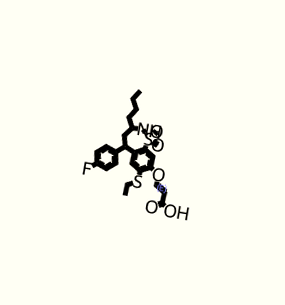 CCCCC1CC(c2ccc(F)cc2)c2cc(SCC)c(O/C=C/C(=O)O)cc2S(=O)(=O)N1